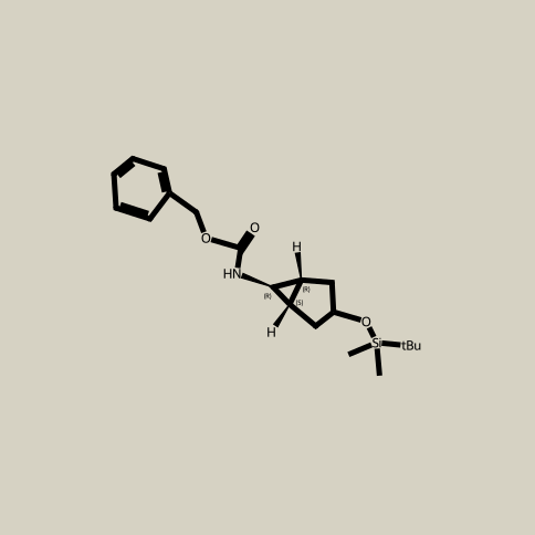 CC(C)(C)[Si](C)(C)OC1C[C@@H]2[C@H](C1)[C@H]2NC(=O)OCc1ccccc1